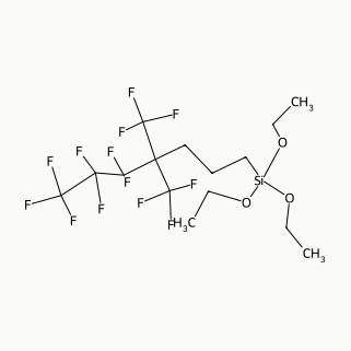 CCO[Si](CCCC(C(F)(F)F)(C(F)(F)F)C(F)(F)C(F)(F)C(F)(F)F)(OCC)OCC